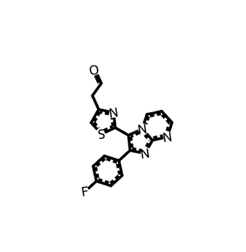 O=CCc1csc(-c2c(-c3ccc(F)cc3)nc3ncccn23)n1